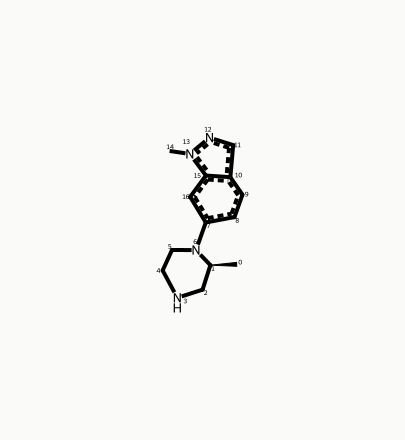 C[C@H]1CNCCN1c1ccc2cnn(C)c2c1